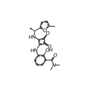 Cc1ccc([C@H](C)Nc2c(Nc3cccc(C(=O)N(C)C)c3O)c(=O)c2=O)o1